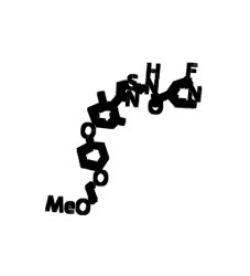 COCCOC1=CC=C(Oc2cc(C)c(-c3csc(NC(=O)c4ccnc(F)c4)n3)c(C)c2)CC1